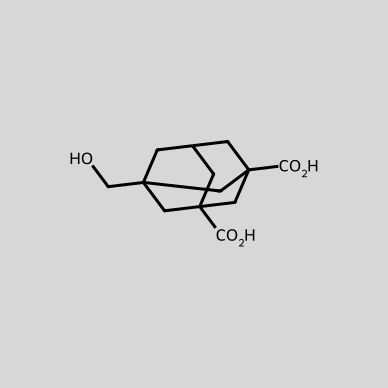 O=C(O)C12CC3CC(CO)(C1)CC(C(=O)O)(C3)C2